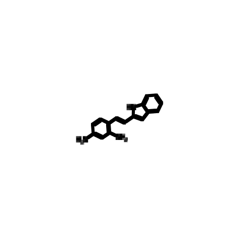 Nc1ccc(C=Cc2cc3ccccc3[nH]2)c(N)c1